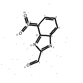 O=CC1=NC2=CC=CC(=S(=O)=O)C2=N1